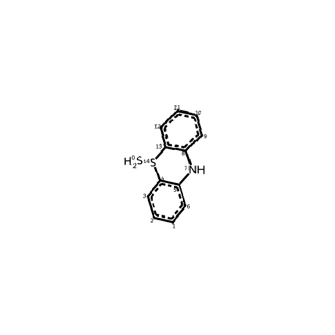 S.c1ccc2c(c1)Nc1ccccc1S2